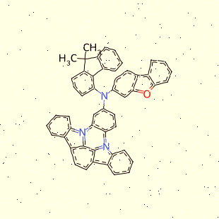 CC1(C)c2ccccc2-c2c(N(c3ccc4c(c3)oc3ccccc34)c3ccc4c(c3)n3c5ccccc5c5ccc6c7ccccc7n4c6c53)cccc21